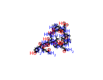 CC[C@H](C)[C@H](NC(=O)[C@@H](NC(=O)[C@H](CCCNC(=N)N)NC(=O)[C@H](CO)NC(=O)CNC(=O)[C@H](Cc1ccc(O)cc1)NC(=O)[C@@H](N)CCC(N)=O)C(C)C)C(=O)N[C@@H](CCC(N)=O)C(=O)N[C@@H](Cc1c[nH]cn1)C(=O)N[C@H](C(=O)N[C@@H](CC(C)C)C(=O)N[C@@H](CCC(=O)O)C(=O)N[C@@H](Cc1c[nH]cn1)C(=O)NCC(=O)O)C(C)C